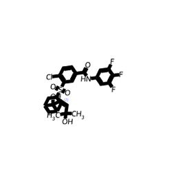 CC(C)(O)/C=C\C1(O)C2CC1CC(S(=O)(=O)c1cc(C(=O)Nc3cc(F)c(F)c(F)c3)ccc1Cl)C2